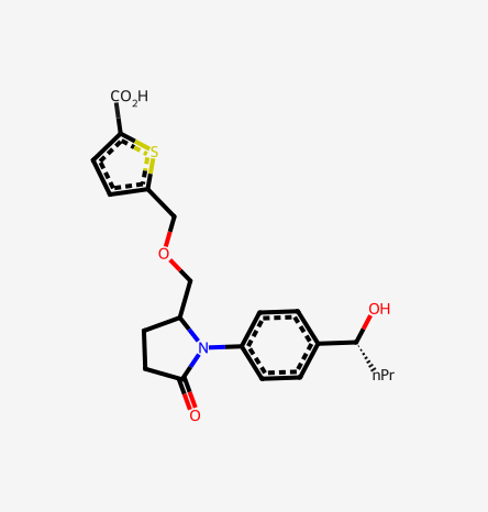 CCC[C@@H](O)c1ccc(N2C(=O)CCC2COCc2ccc(C(=O)O)s2)cc1